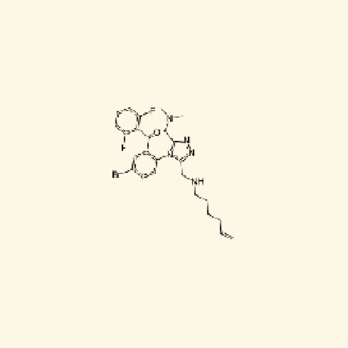 C=CCCCCNCc1nnc(CN(C)C)n1-c1ccc(Br)cc1C(=O)c1c(F)cccc1F